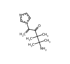 C=C(C(=O)C(C)(C)C(C)(C)N)n1ccnc1